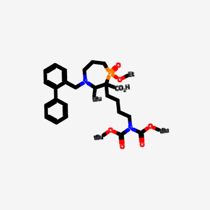 CCOP1(=O)CCCN(Cc2ccccc2-c2ccccc2)C(C(C)(C)C)C1(CCCCN(C(=O)OC(C)(C)C)C(=O)OC(C)(C)C)C(=O)O